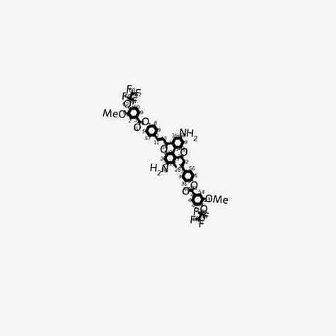 COc1cc(C(=O)Oc2ccc(/C=C/C(=O)c3cc(N)ccc3-c3ccc(N)c(C)c3C(=O)/C=C/c3ccc(OC(=O)c4ccc(OC(F)(F)C(F)F)c(OC)c4)cc3)cc2)ccc1OC(F)(F)C(F)F